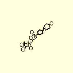 O=C1C=CN(c2ccc(N3CC(CNC(=O)C(Cl)Cl)OC3=O)cc2)CC1